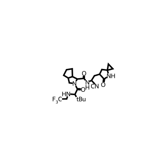 CC(C)(C)C(NCC(F)(F)F)C(=O)N1CC2CCCC2C1C(=O)NC(C#N)CC1CC2(CC2)NC1=O